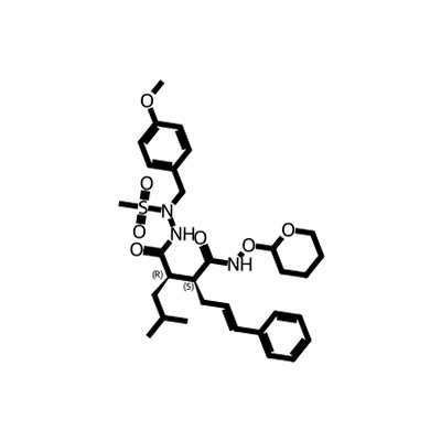 COc1ccc(CN(NC(=O)[C@H](CC(C)C)[C@H](CC=Cc2ccccc2)C(=O)NOC2CCCCO2)S(C)(=O)=O)cc1